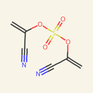 C=C(C#N)OS(=O)(=O)OC(=C)C#N